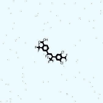 O=C(O)c1ccc(/C(F)=C/C(c2cc(Cl)c(C(F)F)c(Cl)c2)C(F)(F)F)cc1C(F)(F)F